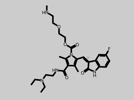 CCN(CC)CCNC(=O)c1c(C)c(/C=C2\C(=O)Nc3ccc(F)cc32)n(C(=O)OCCOCCNC)c1C